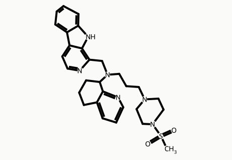 CS(=O)(=O)N1CCN(CCCN(Cc2nccc3c2[nH]c2ccccc23)C2CCCc3cccnc32)CC1